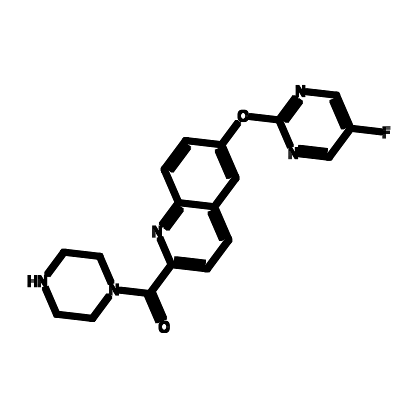 O=C(c1ccc2cc(Oc3ncc(F)cn3)ccc2n1)N1CCNCC1